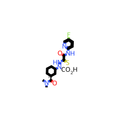 CN(C)C(=O)[C@H]1CCCC(N(NC(=S)C(=O)Nc2ccc(F)cn2)C(=O)O)C1